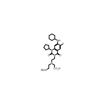 COCCN(CCn1c(=O)c2cc(F)c(NC3CCCCC3)cc2n(C2CCCC2)c1=O)CC(=O)O